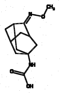 CON=C1C2CC3CC1CC(NC(=O)O)(C3)C2